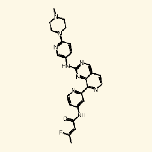 C/C(F)=C/C(=O)Nc1ccnc(-c2nccc3cnc(Nc4ccc(N5CCN(C)CC5)nc4)nc23)c1